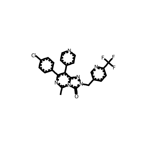 Cc1nc(-c2ccc(Cl)cc2)c(-c2ccncc2)c2nn(Cc3ccc(C(F)(F)F)nc3)c(=O)n12